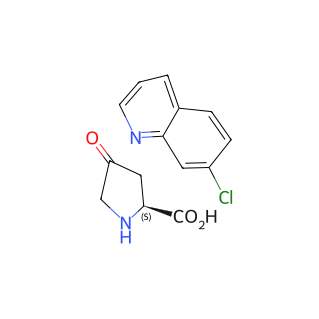 Clc1ccc2cccnc2c1.O=C1CN[C@H](C(=O)O)C1